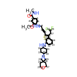 CNC(=O)c1ccc(NCC#Cc2sc3c(NC4CCC(N5CC6(CCOCC6)C5)CC4)cccc3c2CC(F)F)c(OC)c1